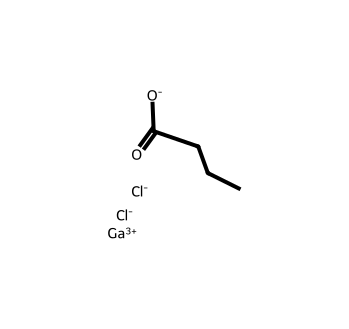 CCCC(=O)[O-].[Cl-].[Cl-].[Ga+3]